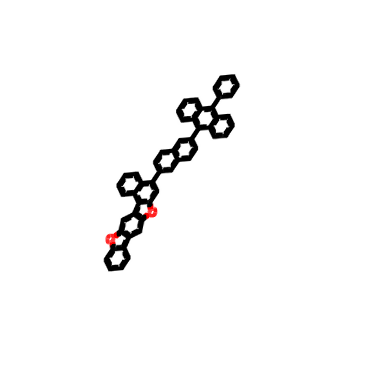 c1ccc(-c2c3ccccc3c(-c3ccc4cc(-c5cc6oc7cc8c(cc7c6c6ccccc56)oc5ccccc58)ccc4c3)c3ccccc23)cc1